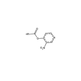 CCCC(=O)Oc1ccncc1[N+](=O)[O-]